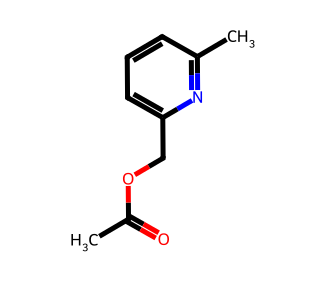 CC(=O)OCc1cccc(C)n1